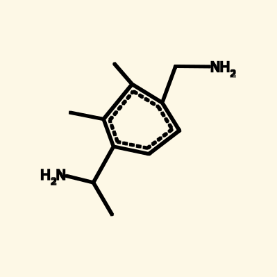 Cc1c(CN)ccc(C(C)N)c1C